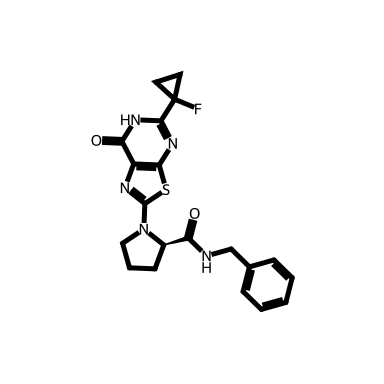 O=C(NCc1ccccc1)[C@H]1CCCN1c1nc2c(=O)[nH]c(C3(F)CC3)nc2s1